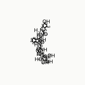 Cc1cc(O)cc(C)c1C[C@H](N)C(=O)NCC(=O)NC1(C(=O)NCC(=O)N[C@@H](CO[C@@H]2O[C@H](CO)C(O)C(O)C2O)C(N)=O)Cc2ccccc2C1